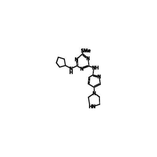 CSc1nc(Nc2ccc(N3CCNCC3)cn2)nc(NC2CCCC2)n1